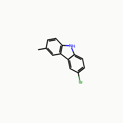 Cc1ccc2[nH]c3ccc(Br)cc3c2c1